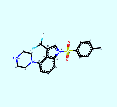 Cc1ccc(S(=O)(=O)n2cc(C(F)F)c3c(N4CCNCC4)cccc32)cc1